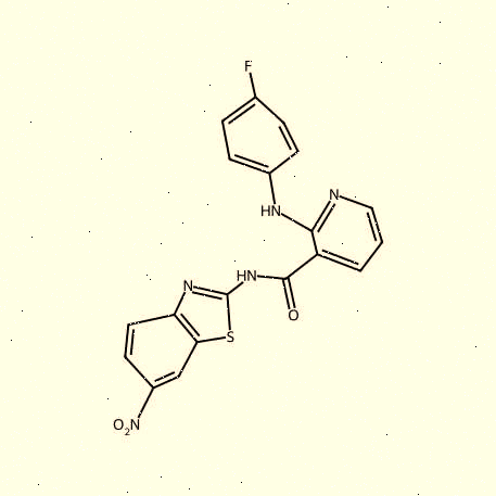 O=C(Nc1nc2ccc([N+](=O)[O-])cc2s1)c1cccnc1Nc1ccc(F)cc1